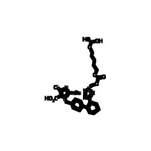 CCCCc1nc(Cl)c(C(=O)O)n1Cc1ccc(-c2ccccc2-c2nnn(COC(=O)OCCCCCON(O)O)n2)cc1